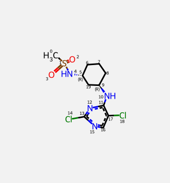 CS(=O)(=O)N[C@@H]1CCC[C@@H](Nc2nc(Cl)ncc2Cl)C1